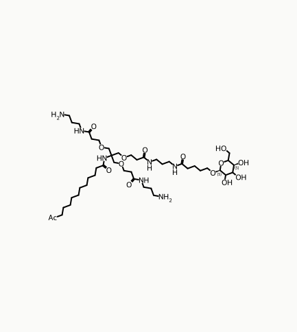 CC(=O)CCCCCCCCCCC(=O)NC(COCCC(=O)NCCCN)(COCCC(=O)NCCCN)COCCC(=O)NCCCNC(=O)CCCCO[C@H]1OC(CO)[C@@H](O)C(O)C1O